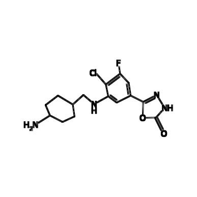 NC1CCC(CNc2cc(-c3n[nH]c(=O)o3)cc(F)c2Cl)CC1